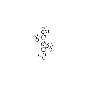 C=C(C)C(=O)Oc1ccc(OC(=O)c2ccc(OC(=O)C(=C)C)c(OC(=O)C(=C)C)c2)c(OC(=O)C(=C)C)c1